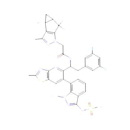 Cc1nc2nc(C(Cc3cc(F)cc(F)c3)NC(=O)Cn3nc(C(F)(F)F)c4c3C(F)(F)[C@@H]3C[C@H]43)c(-c3cccc4c(NS(C)(=O)=O)nn(C)c34)cc2s1